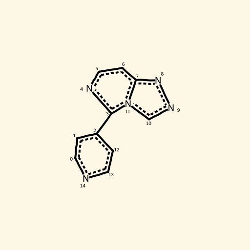 c1cc(-c2nccc3nncn23)ccn1